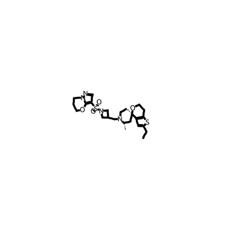 CCc1cc2c(s1)CCO[C@@]21CCN(CC2CN(S(=O)(=O)c3cnn4c3OCCC4)C2)[C@@H](C)C1